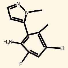 Cc1c(Cl)cc(F)c(N)c1-c1ccnn1C